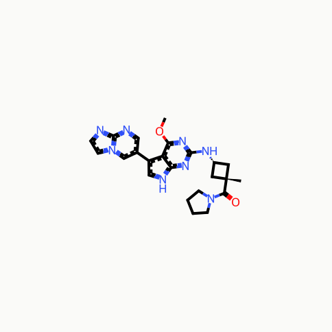 COc1nc(N[C@H]2C[C@@](C)(C(=O)N3CCCC3)C2)nc2[nH]cc(-c3cnc4nccn4c3)c12